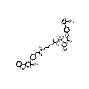 Cc1ncsc1-c1ccc(CNC(=O)[C@@H]2C[C@@H](O)CN2C(=O)[C@@H](NC(=O)CCCCCNC(=O)CN2CCN(c3cc(-c4ccccc4O)nnc3N)CC2)C(C)(C)C)cc1